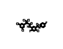 O=C(Nc1ccc(F)cc1)c1cc(NC(=O)C2C(c3cc(Cl)cc(Cl)c3)C2(Cl)Cl)c(F)cc1Cl